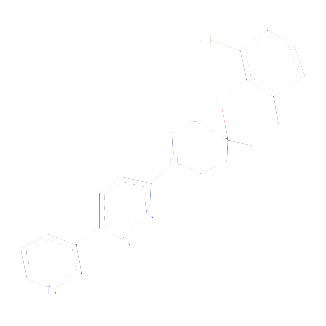 Clc1cccc2c1OC1(CC2)CCN(c2ccc(-c3cccnc3)nn2)CC1